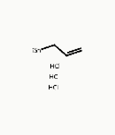 C=C[CH2][Sn].Cl.Cl.Cl